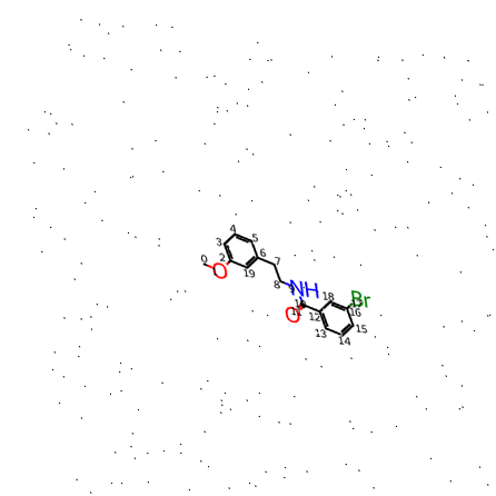 COc1cccc(CCNC(=O)c2cccc(Br)c2)c1